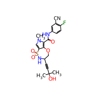 Cn1cc2c(c1C(=O)Nc1ccc(F)c(C#N)c1)OCC(C#CC(C)(C)O)NS2(=O)=O